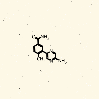 Cc1ccc(C(N)=O)cc1-c1cnc(N)cn1